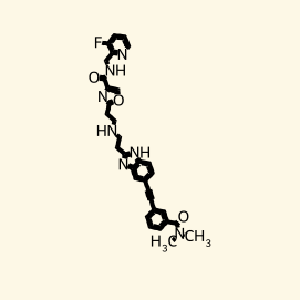 CN(C)C(=O)c1cccc(C#Cc2ccc3[nH]c(CCNCCc4nc(C(=O)NCc5ncccc5F)co4)nc3c2)c1